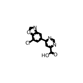 O=C(O)c1cc(-c2cc(Cl)c3ocnc3c2)ncn1